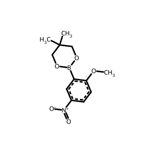 COc1ccc([N+](=O)[O-])cc1B1OCC(C)(C)CO1